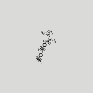 CCN(CC)CCN(C)C(=O)Nc1ccc(S(=O)(=O)NCc2ccc(S(N)(=O)=O)cc2)cc1